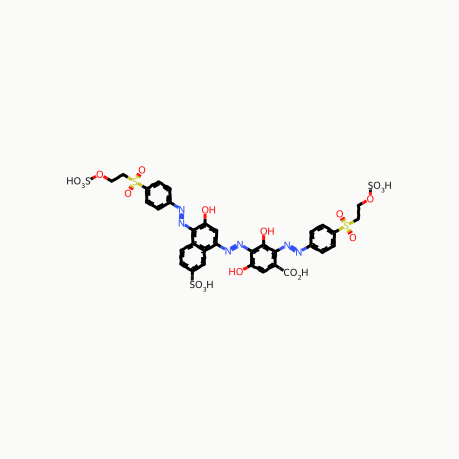 O=C(O)c1cc(O)c(N=Nc2cc(O)c(N=Nc3ccc(S(=O)(=O)CCOS(=O)(=O)O)cc3)c3ccc(S(=O)(=O)O)cc23)c(O)c1N=Nc1ccc(S(=O)(=O)CCOS(=O)(=O)O)cc1